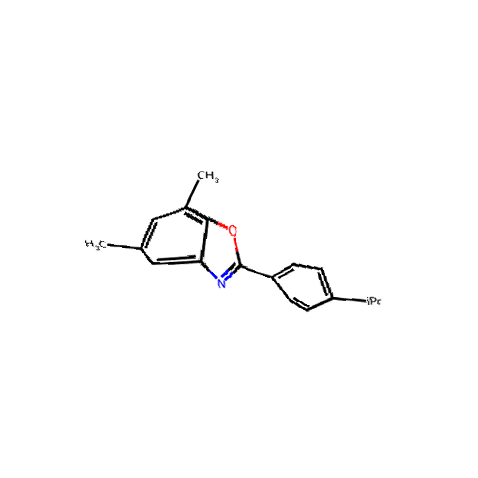 Cc1cc(C)c2oc(-c3ccc(C(C)C)cc3)nc2c1